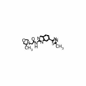 Cc1nnc(-c2ccc3cnc(NC(=O)CN4CCOCC4C)nc3c2)s1